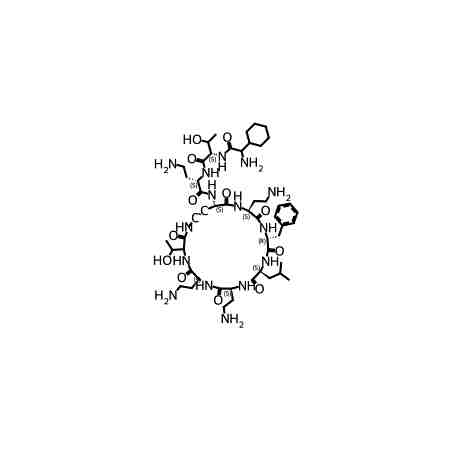 CC(C)C[C@@H]1NC(=O)[C@@H](Cc2ccccc2)NC(=O)[C@H](CCN)NC(=O)[C@@H](NC(=O)[C@H](CCN)NC(=O)[C@@H](NC(=O)C(N)C2CCCCC2)C(C)O)CCNC(=O)C(C(C)O)NC(=O)[C@H](CCN)NC(=O)[C@H](CCN)NC1=O